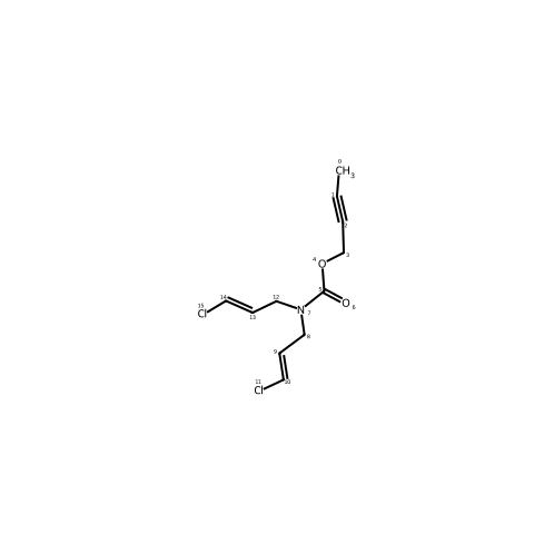 CC#CCOC(=O)N(CC=CCl)CC=CCl